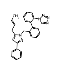 CC=CCc1nc(-c2ccccc2)nn1Cc1ccccc1-c1ccccc1-n1cnnn1